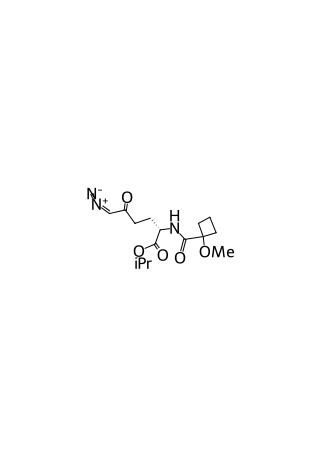 COC1(C(=O)N[C@@H](CCC(=O)C=[N+]=[N-])C(=O)OC(C)C)CCC1